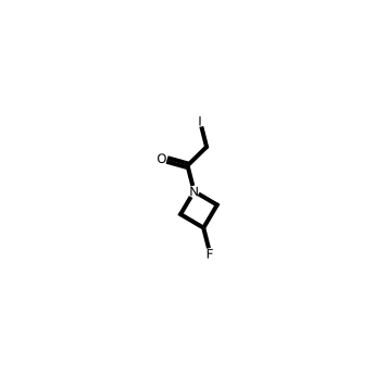 O=C(CI)N1CC(F)C1